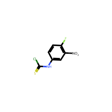 O=[N+]([O-])c1cc(NC(=S)Cl)ccc1F